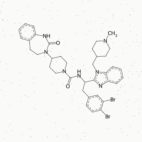 CN1CCC(Cn2c(C(Cc3ccc(Br)c(Br)c3)NC(=O)N3CCC(N4CCc5ccccc5NC4=O)CC3)nc3ccccc32)CC1